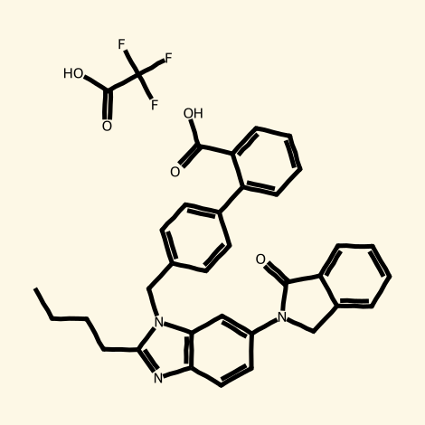 CCCCc1nc2ccc(N3Cc4ccccc4C3=O)cc2n1Cc1ccc(-c2ccccc2C(=O)O)cc1.O=C(O)C(F)(F)F